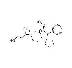 CN(CCO)[C@H]1CC[C@H](C2([C@@H](C(=O)OO)c3ccccc3)CCCC2)CC1